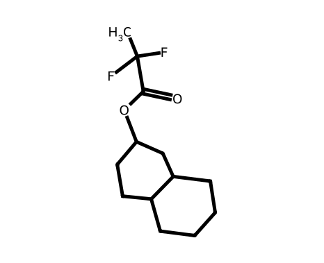 CC(F)(F)C(=O)OC1CCC2CCCCC2C1